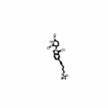 CS(=O)(=O)OCCCC#Cc1ccc2c(c1)C(=C=O)N(C1CCC(=C=O)NC1=C=O)C2